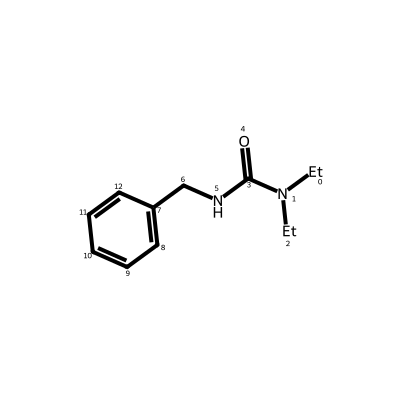 CCN(CC)C(=O)NCc1ccccc1